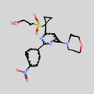 O=[N+]([O-])c1ccc(-c2nc(N3CCOCC3)cc(C3(S(=O)(=O)CCO)CC3)n2)cc1